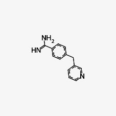 N=C(N)c1ccc(Cc2cccnc2)cc1